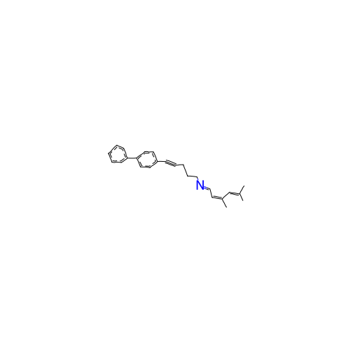 CC(C)=C/C(C)=C\C=N\CCCC#Cc1ccc(-c2ccccc2)cc1